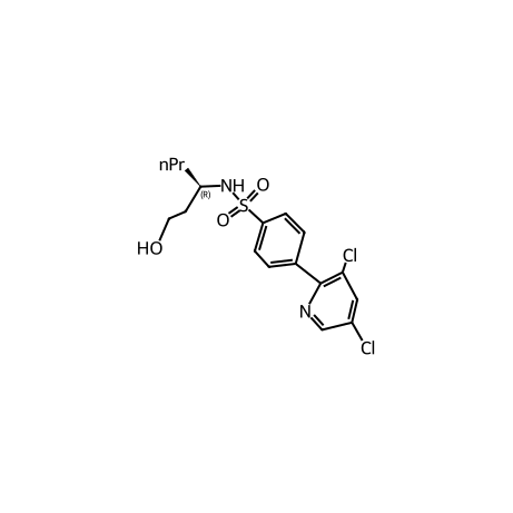 CCC[C@H](CCO)NS(=O)(=O)c1ccc(-c2ncc(Cl)cc2Cl)cc1